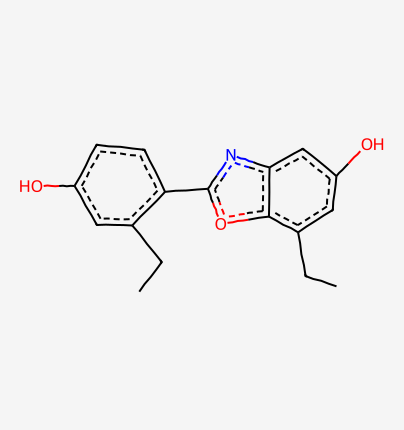 CCc1cc(O)ccc1-c1nc2cc(O)cc(CC)c2o1